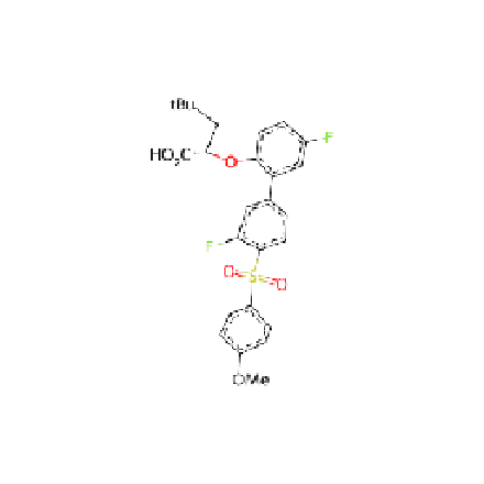 COc1ccc(S(=O)(=O)c2ccc(-c3cc(F)ccc3O[C@@H](CC(C)(C)C)C(=O)O)cc2F)cc1